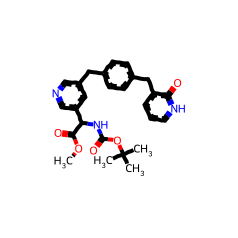 COC(=O)C(NC(=O)OC(C)(C)C)c1cncc(Cc2ccc(Cc3ccc[nH]c3=O)cc2)c1